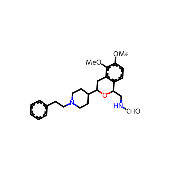 COc1ccc2c(c1OC)CC(C1CCN(CCc3ccccc3)CC1)OC2CNC=O